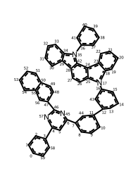 c1ccc(-c2cc(-c3cccc(-c4cccc(-n5c6ccccc6c6c5ccc5c7ccccc7n(-c7ccccc7)c56)c4)c3)nc(-c3ccc4ccccc4c3)n2)cc1